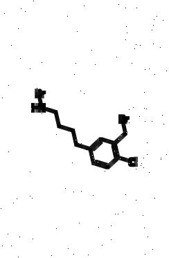 Clc1ccc(CCCCNBr)cc1CBr